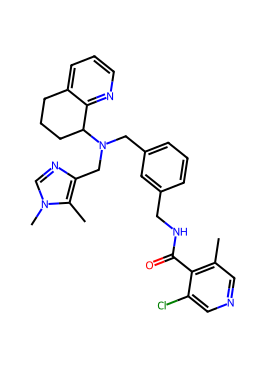 Cc1cncc(Cl)c1C(=O)NCc1cccc(CN(Cc2ncn(C)c2C)C2CCCc3cccnc32)c1